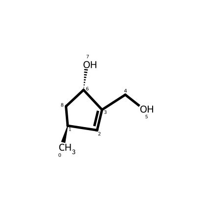 C[C@@H]1C=C(CO)[C@@H](O)C1